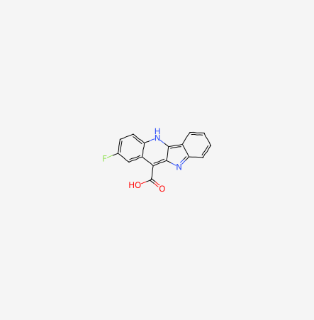 O=C(O)c1c2nc3ccccc3c-2[nH]c2ccc(F)cc12